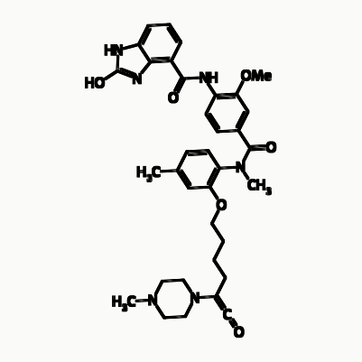 COc1cc(C(=O)N(C)c2ccc(C)cc2OCCCCC(=C=O)N2CCN(C)CC2)ccc1NC(=O)c1cccc2[nH]c(O)nc12